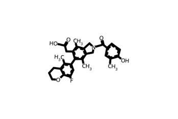 Cc1cc(C(=O)N2Cc3c(C)c(CC(=O)O)c(-c4cc(F)c5c(c4C)CCCO5)c(C)c3C2)ccc1O